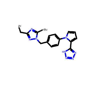 CCCCc1nc(CC(C)C)nn1Cc1ccc(-n2cccc2-c2nnn[nH]2)cc1